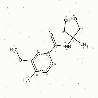 COc1cc(C(=O)NC(C)(CO)CO)ccc1N